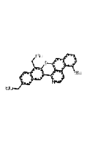 CC(C)(C)Cc1ccc2c(CC(C)(C)C)c3c(cc2c1)-c1nccc2c1c(cc1cccc(C(C)(C)C)c12)S3